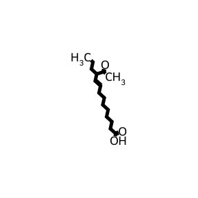 CCCC(C=CCCCCCCCC(=O)O)C(C)=O